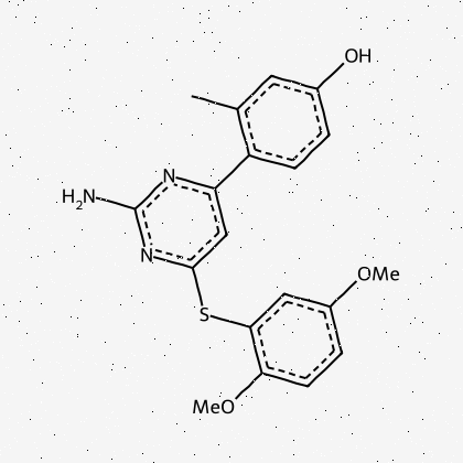 COc1ccc(OC)c(Sc2cc(-c3ccc(O)cc3C)nc(N)n2)c1